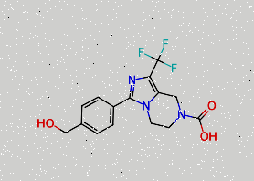 O=C(O)N1CCn2c(-c3ccc(CO)cc3)nc(C(F)(F)F)c2C1